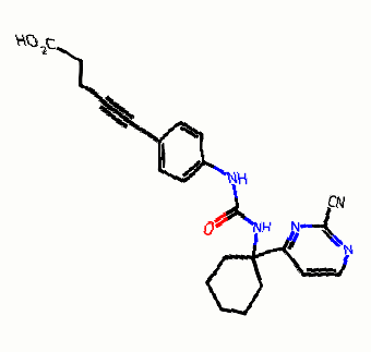 N#Cc1nccc(C2(NC(=O)Nc3ccc(C#CCCC(=O)O)cc3)CCCCC2)n1